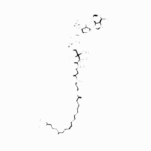 CC(C)CCCC(C)CC/C=C\CCCCCCCC(=O)SCCNC(=O)CCNC(=O)[C@H](O)C(C)(C)COP(=O)(O)OP(=O)(O)OC[C@H]1O[C@@H](n2cnc3c(N)ncnc32)[C@H](O)[C@@H]1OP(=O)(O)O